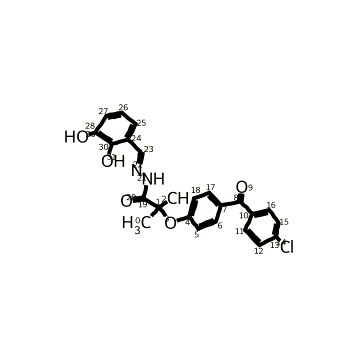 CC(C)(Oc1ccc(C(=O)c2ccc(Cl)cc2)cc1)C(=O)N/N=C/c1cccc(O)c1O